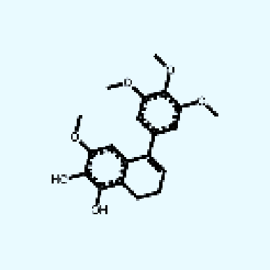 COc1cc2c(c(O)c1O)CCC=C2c1cc(OC)c(OC)c(OC)c1